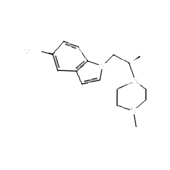 COc1ccc2c(ccn2C[C@@H](C)N2CCN(C)CC2)c1